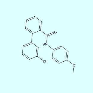 COc1ccc(NC(=O)c2ccccc2-c2cccc(Cl)c2)cc1